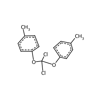 Cc1ccc(OC(Cl)(Cl)Oc2ccc(C)cc2)cc1